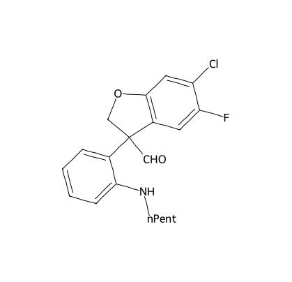 CCCCCNc1ccccc1C1(C=O)COc2cc(Cl)c(F)cc21